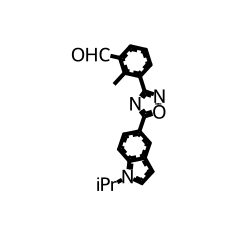 Cc1c(C=O)cccc1-c1noc(-c2ccc3c(ccn3C(C)C)c2)n1